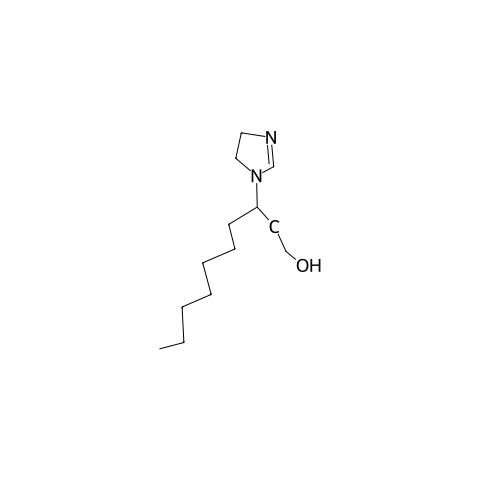 CCCCCCCC(CCO)N1C=NCC1